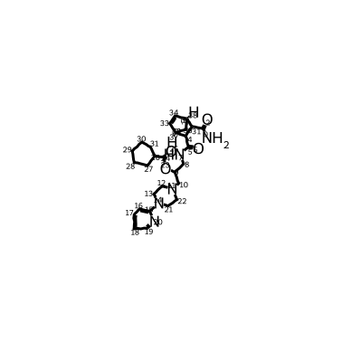 NC(=O)C1C(C(=O)NCC(CN2CCN(c3ccccn3)CC2)OC(=O)C2CCCCC2)[C@H]2C=C[C@@H]1C2